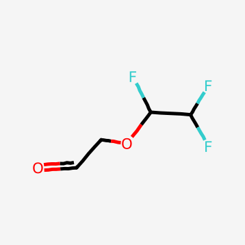 O=CCOC(F)C(F)F